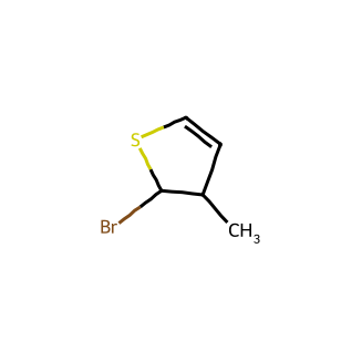 CC1C=CSC1Br